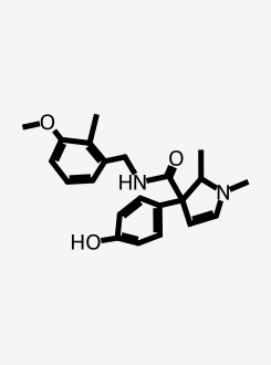 COc1cccc(CNC(=O)C2(c3ccc(O)cc3)C=CN(C)C2C)c1C